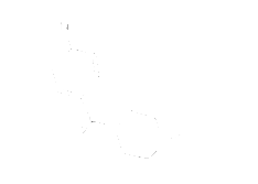 CP1(=O)CCN(C(=O)c2ccc([N+](=O)[O-])cc2)CC1